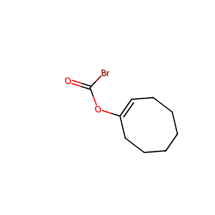 O=C(Br)OC1=CCCCCCC1